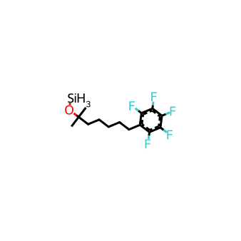 CC(C)(CCCCCc1c(F)c(F)c(F)c(F)c1F)O[SiH3]